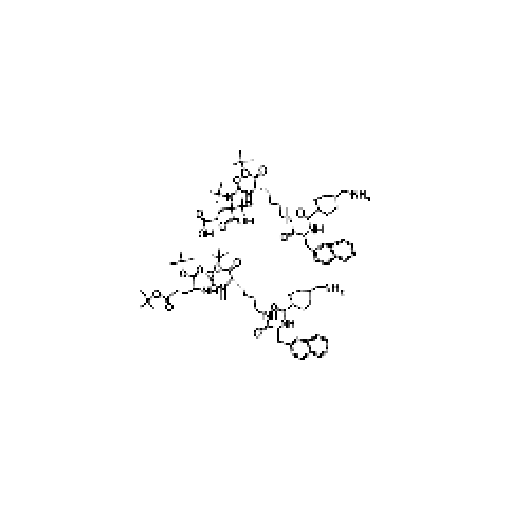 CC(C)(C)OC(=O)CC[C@H](NC(=O)N[C@@H](CCCCNC(=O)[C@H](Cc1ccc2ccccc2c1)NC(=O)C1CCC(CN)CC1)C(=O)OC(C)(C)C)C(=O)OC(C)(C)C.CC(C)(C)OC(=O)[C@H](CCCCNC(=O)[C@H](Cc1ccc2ccccc2c1)NC(=O)C1CCC(CN)CC1)NC(=O)N(C(C)(C)C)[C@@](CCC(=O)O)(C(=O)O)C(C)(C)C